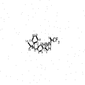 C=C(NNC(=C)C(F)(F)F)c1ccc(CN(C(=C)C)c2ccccc2)cc1